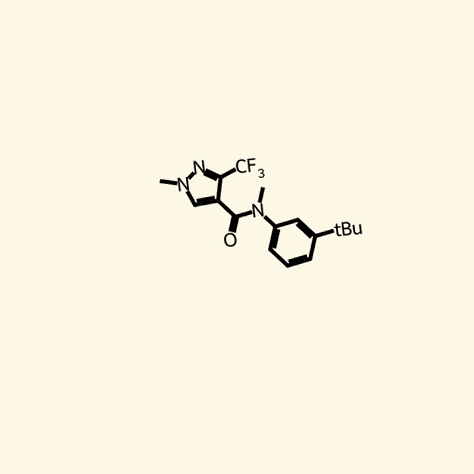 CN(C(=O)c1cn(C)nc1C(F)(F)F)c1cccc(C(C)(C)C)c1